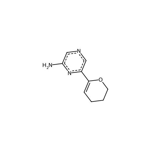 Nc1cncc(C2=CCCCO2)n1